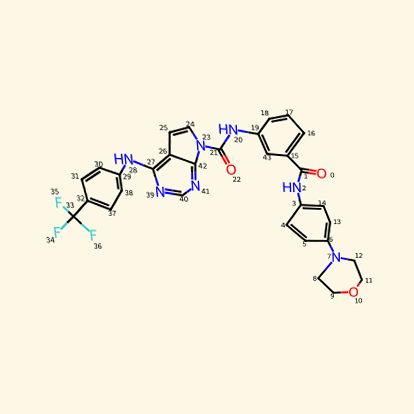 O=C(Nc1ccc(N2CCOCC2)cc1)c1cccc(NC(=O)n2ccc3c(Nc4ccc(C(F)(F)F)cc4)ncnc32)c1